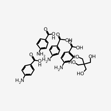 Nc1ccc(C(=O)O)cc1.Nc1ccc(C(=O)O)cc1.Nc1ccc(C(=O)O)cc1.Nc1ccc(C(=O)O)cc1.OCC(CO)(CO)CO